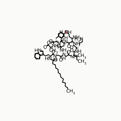 CCCCCCCCCCCCCC(=O)N[C@@H](CCc1c[nH]c2ccccc12)C(=O)NCC(=O)NCC(=O)N[C@H](C(=O)N[C@@H](CCCN)C(=O)N[C@H](C(=O)N[C@@H](CC(N)=O)C(=O)N[C@@H](Cc1ccc(O)cc1)C(=O)N[C@@H](C)C(=O)O)C(N)CCN)[C@@H](C)CC